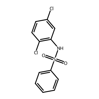 O=S(=O)(Nc1cc(Cl)ccc1Cl)c1ccccc1